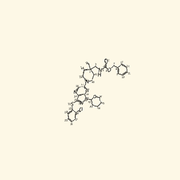 CC1(CNC(=O)OCc2ccccc2)CCN(c2cnc3c(Sc4ccccc4Cl)nn(C4CCCCO4)c3n2)CC1